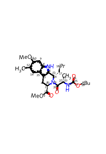 COC(=O)[C@H]1Cc2c([nH]c3cc(OC)c(C)cc23)[C@H](CC(C)C)N1C(=O)[C@H](C)NC(=O)OC(C)(C)C